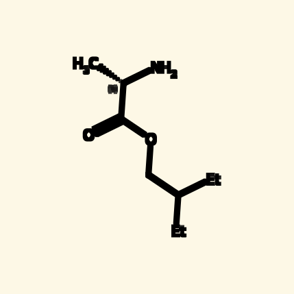 CCC(CC)COC(=O)[C@H](C)N